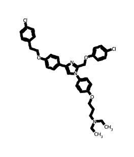 CCN(CC)CCCOc1ccc(-n2cc(-c3ccc(OCCc4ccc(Cl)cc4)cc3)nc2COc2ccc(Cl)cc2)cc1